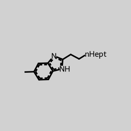 CCCCCCCCCc1nc2cc(C)ccc2[nH]1